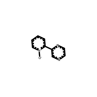 [O-][n+]1ccccc1-c1[c]nccn1